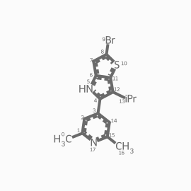 Cc1cc(-c2[nH]c3cc(Br)sc3c2C(C)C)cc(C)n1